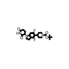 CC(C)(C)OC(=O)N1CCC(c2c(F)cc3c(c2F)CCN3[C@@H]2CCC(=O)NC2=O)CC1